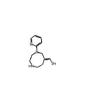 S/C=C1\CCNCCN(c2ccccn2)C1